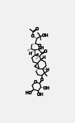 CC(=O)O[C@@H]([C@H]1C[C@@H](C)[C@H]2[C@H](O1)C(=O)[C@@]1(C)[C@@H]3CC[C@H]4C(C)(C)[C@@H](O[C@@H]5OC[C@H](O)[C@H](O)[C@H]5O)CC[C@@]45C[C@@]35CC[C@]21C)C(C)(C)O